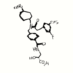 CC(C)(C)C1CCC(N(Cc2ccc(C(=O)NC[C@@H](O)C(=O)O)cc2)C(=O)Cc2cc(F)cc(C(F)(F)F)c2)CC1